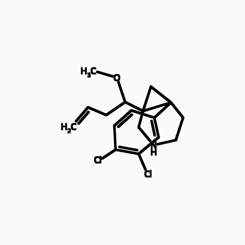 C=CCC(OC)C12CNCCC1(c1ccc(Cl)c(Cl)c1)C2